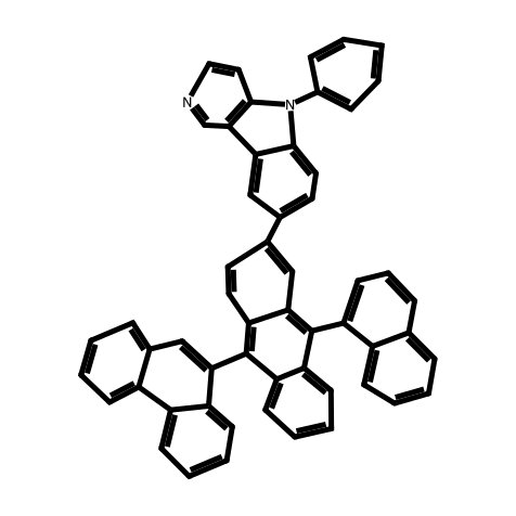 c1ccc(-n2c3ccncc3c3cc(-c4ccc5c(-c6cc7ccccc7c7ccccc67)c6ccccc6c(-c6cccc7ccccc67)c5c4)ccc32)cc1